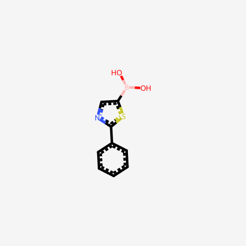 OB(O)c1cnc(-c2ccccc2)s1